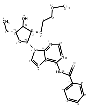 CC[C@H]1O[C@@H](n2cnc3c(NC(=O)c4ccccc4)ncnc32)[C@@H](OCCOC)C1O